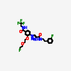 O=C(NCC(F)(F)F)c1ccc(-n2cc(C(=O)NCCc3cccc(F)c3)nn2)c(OCCOCCF)c1